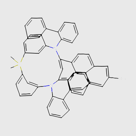 CC(C)(C)c1cc2ccc3c4cc(c5ccc(c1)c2c35)N(c1ccccc1-c1ccccc1)c1cccc(c1)S(C)(C)c1cccc(c1)N4c1ccccc1-c1ccccc1